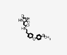 COc1ccc(Oc2ccc(CCNC(=O)CC3NC(=O)NC3=O)cc2)cc1